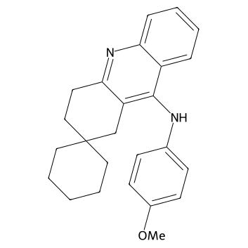 COc1ccc(Nc2c3c(nc4ccccc24)CCC2(CCCCC2)C3)cc1